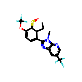 CCC1C(c2nc3cc(C(F)(F)F)cnc3n2C)=CC=C(OC(F)(F)F)C1=S=O